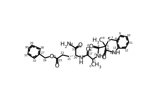 C[C@H](NC(=O)C1(C)Sc2ccccc2NC1=O)C(=O)N[C@H](CCC(=O)OCc1ccccc1)C(N)=O